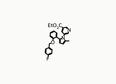 CCOC(=O)c1cncc(-n2c(C)ccc2-c2ccccc2OCc2ccc(F)cc2)c1